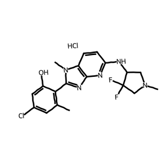 Cc1cc(Cl)cc(O)c1-c1nc2nc(NC3CN(C)CC3(F)F)ccc2n1C.Cl